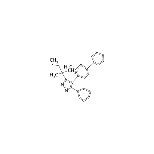 CCCC(C)(C)c1nnc(-c2ccccc2)n1-c1ccc(-c2ccccc2)cc1C